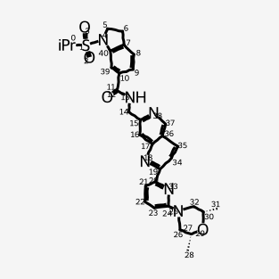 CC(C)S(=O)(=O)N1CCc2ccc(C(=O)NCc3cc4nc(-c5cccc(N6C[C@@H](C)O[C@@H](C)C6)n5)ccc4cn3)cc21